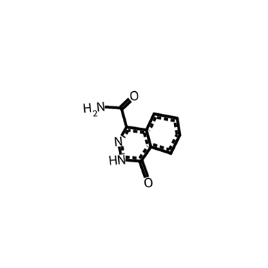 NC(=O)c1n[nH]c(=O)c2ccccc12